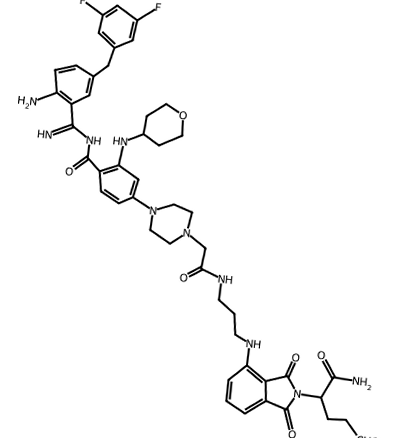 N=C(NC(=O)c1ccc(N2CCN(CC(=O)NCCCNc3cccc4c3C(=O)N(C(CCC=O)C(N)=O)C4=O)CC2)cc1NC1CCOCC1)c1cc(Cc2cc(F)cc(F)c2)ccc1N